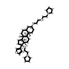 C[C@]12CC[C@H](SCCOCCN3CCCC3)CC1CC[C@@H]1[C@@H]2CC[C@@]2(C)[C@H]1CC[C@@]2(OCCN1CCCC1)c1ccoc1